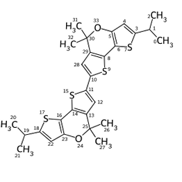 CC(C)c1cc2c(s1)-c1sc(-c3cc4c(s3)-c3sc(C(C)C)cc3OC4(C)C)cc1C(C)(C)O2